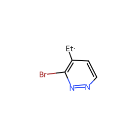 C[CH]c1ccnnc1Br